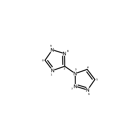 C1=NC(n2ccnn2)=N[N]1